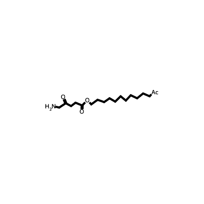 CC(=O)CCCCCCCCCCCOC(=O)CCC(=O)CN